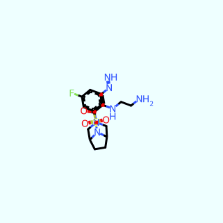 N=N/C=C(\NCCN)C(=O)N1CC2CCC(C1)N2S(=O)(=O)c1cccc(F)c1